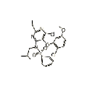 CCc1nc(Cl)c(Oc2cc(OC)ccc2Cl)c(N(CC(C)C)S(=O)(=O)c2ccccc2)n1